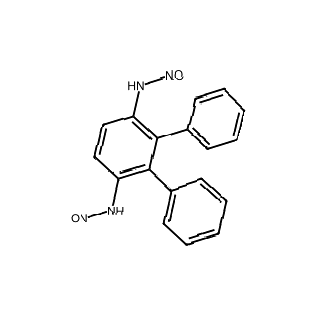 O=NNc1ccc(NN=O)c(-c2ccccc2)c1-c1ccccc1